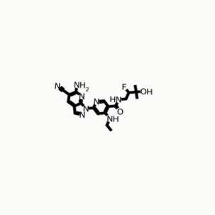 CCNc1cc(-n2ncc3cc(C#N)c(N)nc32)ncc1C(=O)NCC(F)C(C)(C)O